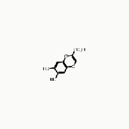 CCOC(=O)C1=COc2cc(C(C)(C)C)c(O)cc2O1